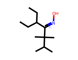 CCC(CC)/C(=N\O)C(C)(C)C(C)C